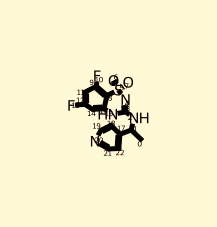 CC(NC1=NS(=O)(=O)c2c(F)cc(F)cc2N1)c1ccncc1